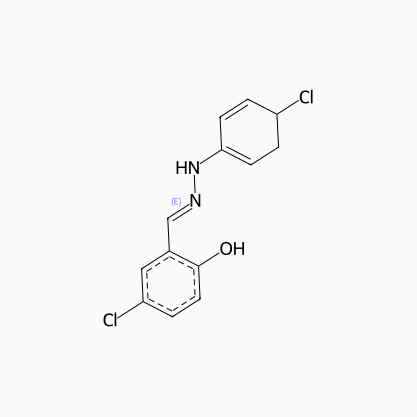 Oc1ccc(Cl)cc1/C=N/NC1=CCC(Cl)C=C1